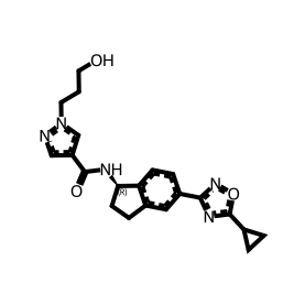 O=C(N[C@@H]1CCc2cc(-c3noc(C4CC4)n3)ccc21)c1cnn(CCCO)c1